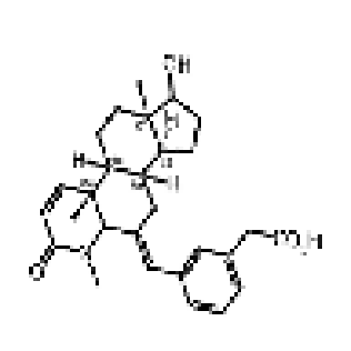 CN1C(=O)C=C[C@@]2(C)C1C(=Cc1cccc(CC(=O)O)c1)C[C@@H]1[C@H]2CC[C@]2(C)C(O)CC[C@@H]12